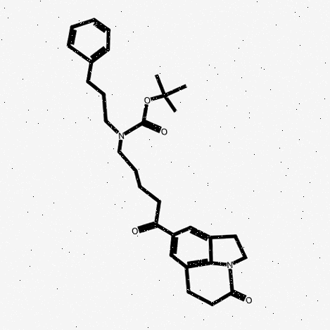 CC(C)(C)OC(=O)N(CCCCC(=O)c1cc2c3c(c1)CCN3C(=O)CC2)CCCc1ccccc1